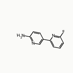 Nc1ccc(-c2cccc(F)n2)cn1